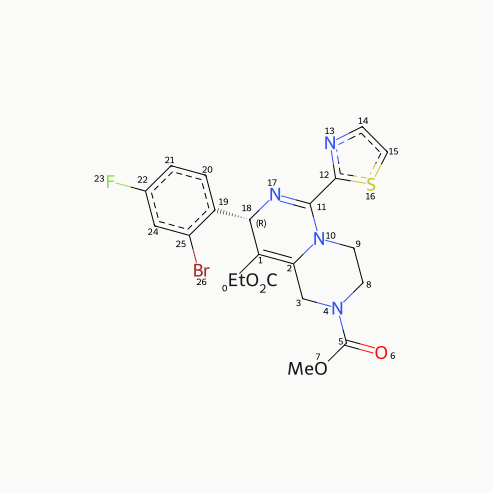 CCOC(=O)C1=C2CN(C(=O)OC)CCN2C(c2nccs2)=N[C@H]1c1ccc(F)cc1Br